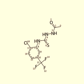 CC(=O)NNC(=S)Nc1cc(C(F)(F)F)ccc1Cl